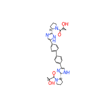 C[C@H](O)C(=O)N1CCC[C@H]1c1nc(-c2ccc(-c3ccc(-c4cnc([C@@H]5CCCN5C(=O)[C@H](C)O)[nH]4)cc3)cc2)c[nH]1